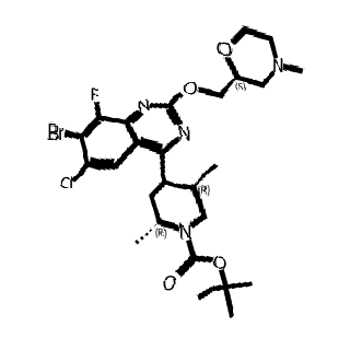 C[C@@H]1CC(c2nc(OC[C@@H]3CN(C)CCO3)nc3c(F)c(Br)c(Cl)cc23)[C@@H](C)CN1C(=O)OC(C)(C)C